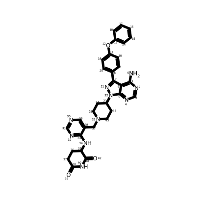 Nc1ncnc2c1c(-c1ccc(Oc3ccccc3)cc1)nn2C1CCN(Cc2cncnc2NC2CCC(=O)NC2=O)CC1